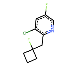 Fc1cnc(CC2(F)CCC2)c(Cl)c1